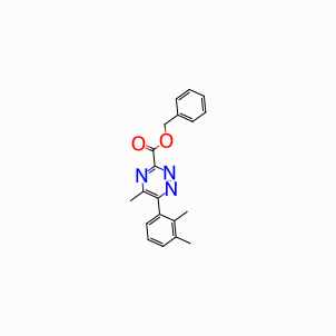 Cc1cccc(-c2nnc(C(=O)OCc3ccccc3)nc2C)c1C